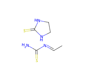 CC=NC(N)=S.S=C1NCCN1